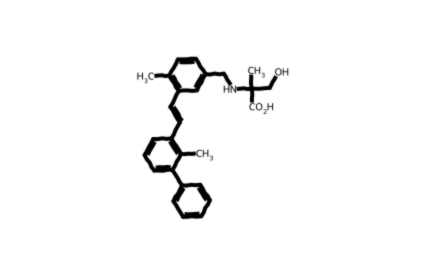 Cc1ccc(CNC(C)(CO)C(=O)O)cc1C=Cc1cccc(-c2ccccc2)c1C